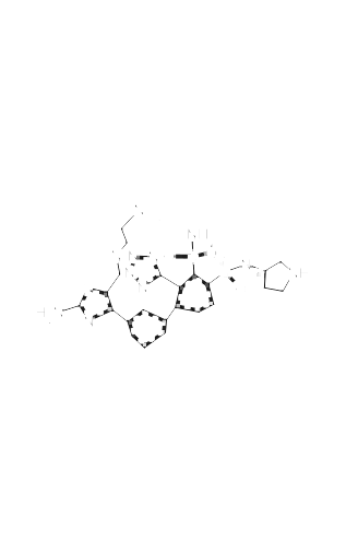 NCCNCc1sc(N)nc1-c1cccc(-c2ccc(S(=O)(=O)N[C@@H]3CCNC3)c(S(N)(=O)=O)c2-c2nnn[nH]2)c1